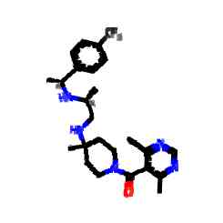 Cc1ncnc(C)c1C(=O)N1CCC(C)(NC[C@H](C)N[C@@H](C)c2ccc(C(F)(F)F)cc2)CC1